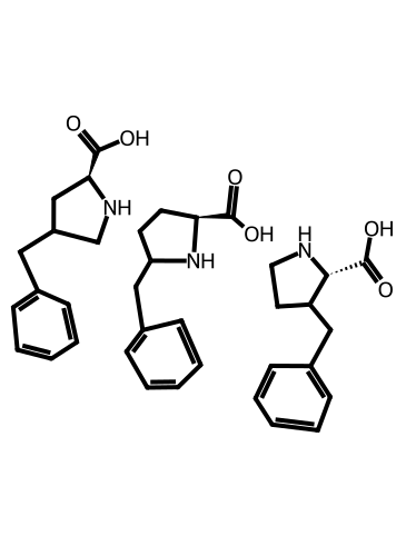 O=C(O)[C@@H]1CC(Cc2ccccc2)CN1.O=C(O)[C@@H]1CCC(Cc2ccccc2)N1.O=C(O)[C@H]1NCCC1Cc1ccccc1